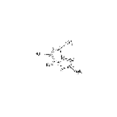 CCn1c(C)cc(C)[n+]2nc(OC)cc1-2